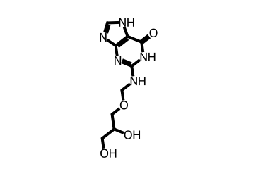 O=c1[nH]c(NCOCC(O)CO)nc2nc[nH]c12